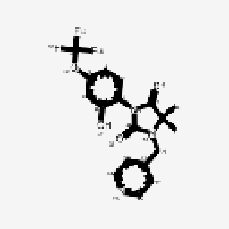 CC1(C)C(=O)N(c2ccc(OC(F)(F)F)cc2O)C(=O)N1Cc1ccncc1